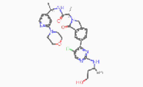 CCCC(CCO)Nc1ncc(Cl)c(-c2ccc3c(c2)C(=O)N([C@@H](C)C(=O)N[C@H](C)c2ccnc(N4CCOCC4)c2)C3)n1